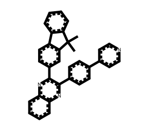 CC1(C)c2ccccc2-c2ccc(-c3nc4ccccc4nc3-c3ccc(-c4ccncc4)cc3)cc21